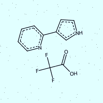 O=C(O)C(F)(F)F.c1ccc(-c2cc[nH]c2)nc1